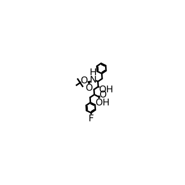 CC(C)(C)OC(=O)NC(Cc1ccccc1)C(O)CC(Cc1ccc(F)cc1)C(=O)O